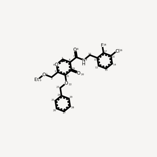 CCOCc1occ(C(=O)NCc2cccc(Cl)c2F)c(=O)c1OCc1ccccc1